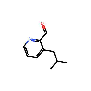 CC(C)Cc1cccnc1C=O